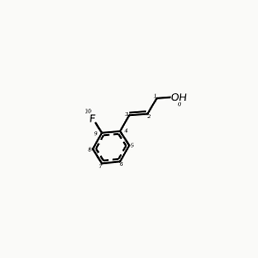 OCC=Cc1ccccc1F